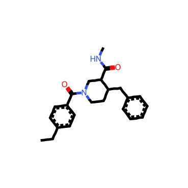 CCc1ccc(C(=O)N2CCC(Cc3ccccc3)C(C(=O)NC)C2)cc1